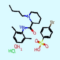 CCCCN1CCCCC1C(=O)Nc1c(C)cccc1C.Cl.O.O=S(=O)(O)c1ccc(Br)cc1